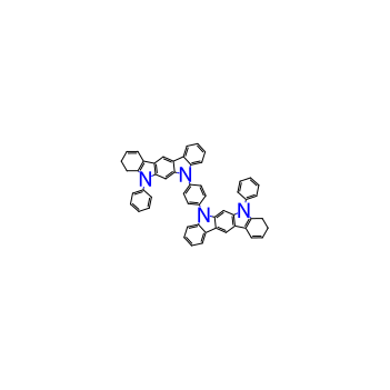 C1=Cc2c(n(-c3ccccc3)c3cc4c(cc23)c2ccccc2n4-c2ccc(-n3c4ccccc4c4cc5c6c(n(-c7ccccc7)c5cc43)CCC=C6)cc2)CC1